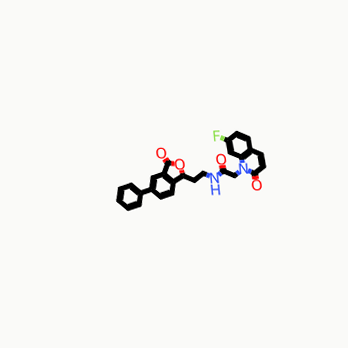 O=C(Cn1c(=O)ccc2ccc(F)cc21)NCCC1OC(=O)c2cc(-c3ccccc3)ccc21